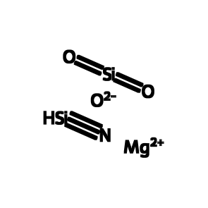 N#[SiH].O=[Si]=O.[Mg+2].[O-2]